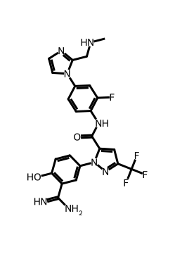 CNCc1nccn1-c1ccc(NC(=O)c2cc(C(F)(F)F)nn2-c2ccc(O)c(C(=N)N)c2)c(F)c1